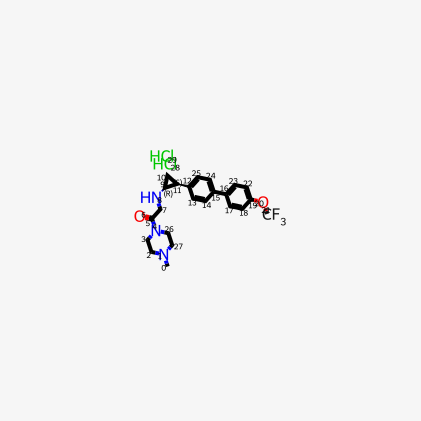 CN1CCN(C(=O)CN[C@@H]2C[C@H]2c2ccc(-c3ccc(OC(F)(F)F)cc3)cc2)CC1.Cl.Cl